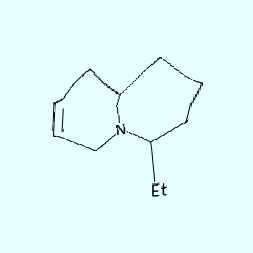 CCC1CCCC2CC=CCN12